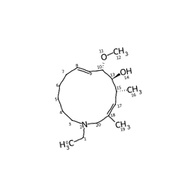 CCN1CCCCC/C=C/[C@H](OC)[C@@H](O)[C@H](C)/C=C(/C)C1